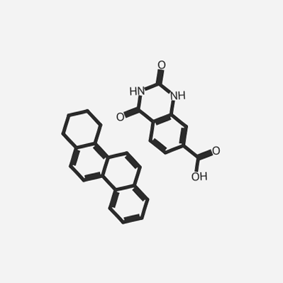 O=C(O)c1ccc2c(=O)[nH]c(=O)[nH]c2c1.c1ccc2c(c1)ccc1c3c(ccc12)CCCC3